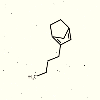 CCCCC1=C2CCC(=C1)C2